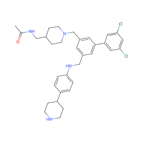 CC(=O)NCC1CCN(Cc2cc(CNc3ccc(C4CCNCC4)cc3)cc(-c3cc(Cl)cc(Cl)c3)c2)CC1